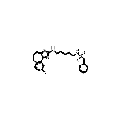 O=S(=O)(Cc1ccccc1)NCCCCCNc1nc2c(s1)CCCc1ccc(F)cc1-2